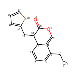 N#CCC1=CC=CC2C1=COC(=O)C2Cc1cccs1